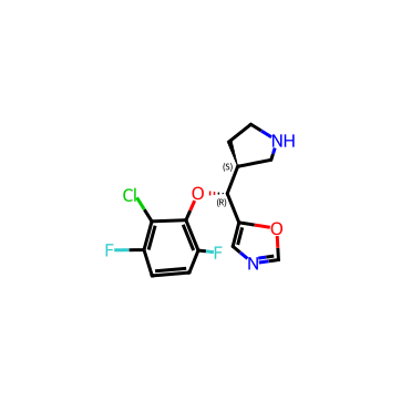 Fc1ccc(F)c(O[C@@H](c2cnco2)[C@H]2CCNC2)c1Cl